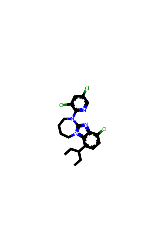 CCC(CC)c1ccc(Cl)c2nc3n(c12)CCCCN3c1ncc(Cl)cc1Cl